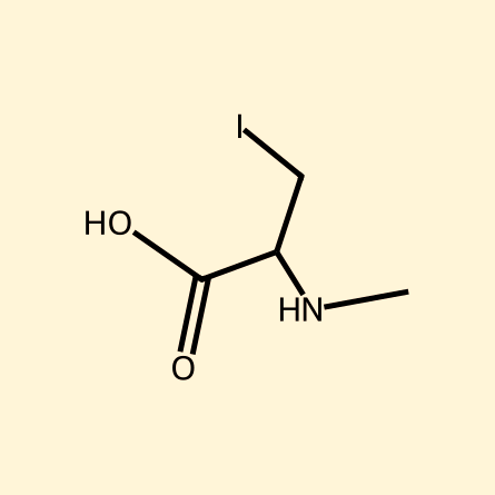 CNC(CI)C(=O)O